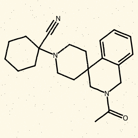 CC(=O)N1Cc2ccccc2C2(CCN(C3(C#N)CCCCC3)CC2)C1